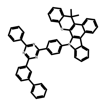 CC1(C)c2ccccc2Oc2c1c1ccccc1c1c3ccccc3n(-c3ccc(-c4nc(-c5ccccc5)nc(-c5cccc(-c6ccccc6)c5)n4)cc3)c21